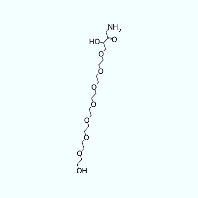 NCC(=O)C(O)COCCOCCOCCOCCOCCOCCOCCO